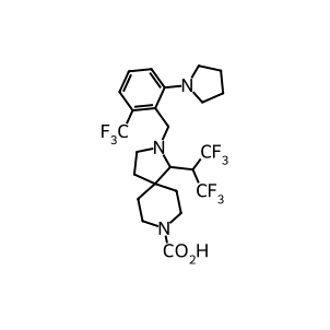 O=C(O)N1CCC2(CC1)CCN(Cc1c(N3CCCC3)cccc1C(F)(F)F)C2C(C(F)(F)F)C(F)(F)F